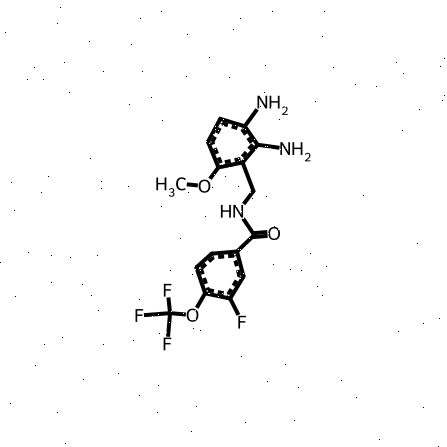 COc1ccc(N)c(N)c1CNC(=O)c1ccc(OC(F)(F)F)c(F)c1